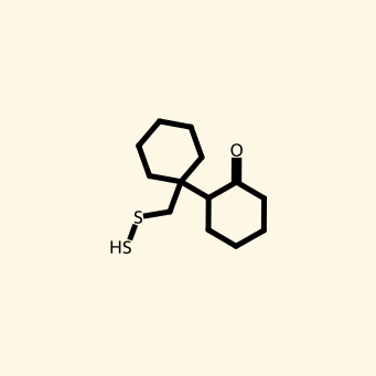 O=C1CCCCC1C1(CSS)CCCCC1